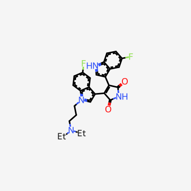 CCN(CC)CCCn1cc(C2=C(c3c[nH]c4ccc(F)cc34)C(=O)NC2=O)c2cc(F)ccc21